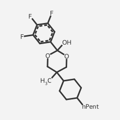 CCCCCC1CCC(C2(C)COC(O)(c3cc(F)c(F)c(F)c3)OC2)CC1